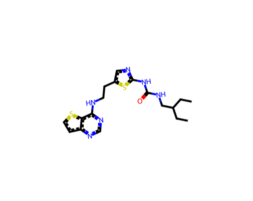 CCC(CC)CNC(=O)Nc1ncc(CCNc2ncnc3ccsc23)s1